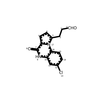 O=CCCc1ccc2c(=O)[nH]c3cc(Cl)ccc3n12